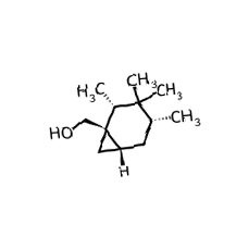 C[C@@H]1C[C@@H]2C[C@]2(CO)[C@H](C)C1(C)C